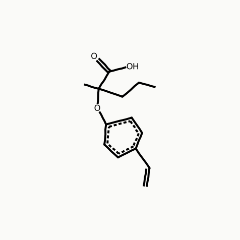 C=Cc1ccc(OC(C)(CCC)C(=O)O)cc1